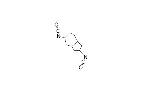 O=C=NC1CCC2CC(N=C=O)CC2C1